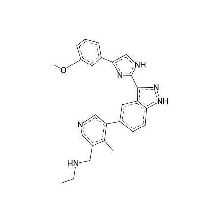 CCNCc1cncc(-c2ccc3[nH]nc(-c4nc(-c5cccc(OC)c5)c[nH]4)c3c2)c1C